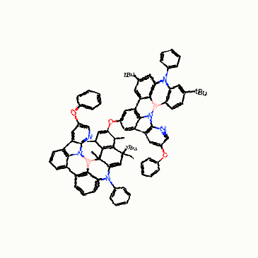 CC1C=C(Oc2cc3c4c(c2)c2cc(Oc5ccccc5)cnc2n4B2c4ccc(C(C)(C)C)cc4N(c4ccccc4)c4cc(C(C)(C)C)cc-3c42)C(C)C2=C1C1(C)B3c4c(cccc4N(c4ccccc4)C1=CC2(C)C(C)(C)C)-c1cccc2c4cc(Oc5ccccc5)cnc4n3c12